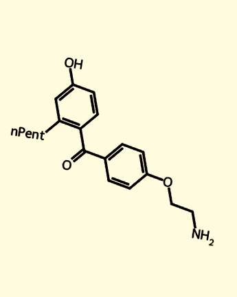 CCCCCc1cc(O)ccc1C(=O)c1ccc(OCCN)cc1